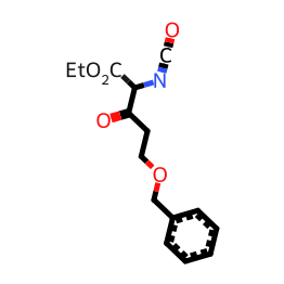 CCOC(=O)C(N=C=O)C(=O)CCOCc1ccccc1